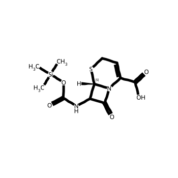 C[Si](C)(C)OC(=O)NC1C(=O)N2C(C(=O)O)=CCS[C@@H]12